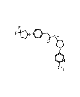 O=C(Cc1ccc(N2CCC(F)(F)C2)cc1)NC1CCN(c2ccc(C(F)(F)F)nc2)C1